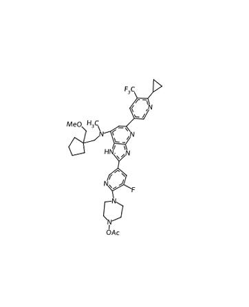 COCC1(CN(C)c2cc(-c3cnc(C4CC4)c(C(F)(F)F)c3)nc3nc(-c4cnc(N5CCN(OC(C)=O)CC5)c(F)c4)[nH]c23)CCCC1